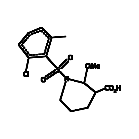 COC1C(C(=O)O)CCCN1S(=O)(=O)c1c(C)cccc1Cl